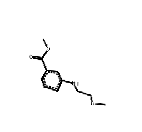 COCCNc1cccc(C(=O)OC)c1